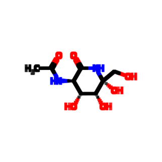 CC(=O)N[C@H]1C(=O)N[C@@](O)(CO)[C@H](O)[C@@H]1O